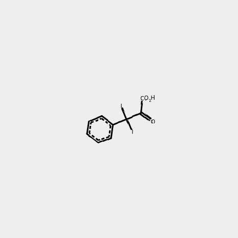 O=C(O)C(=O)C(I)(I)c1ccccc1